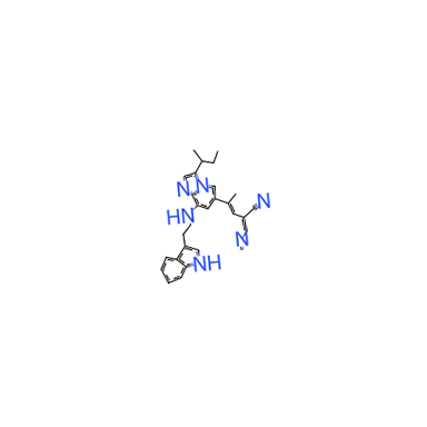 C=N/C=C(C#N)\C=C(/C)c1cc(NCCc2c[nH]c3ccccc23)c2ncc(C(C)CC)n2c1